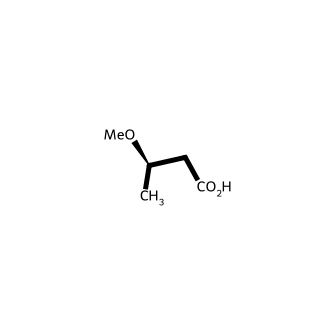 CO[C@H](C)CC(=O)O